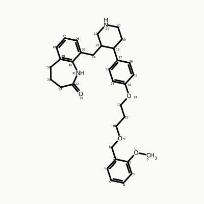 COc1ccccc1COCCCOc1ccc(C2CCNCC2Cc2cccc3c2NC(=O)CCC3)cc1